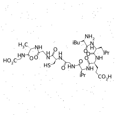 CC[C@H](C)[C@H](N)C(=O)N[C@@H](CC(C)C)C(=O)N[C@@H](CCC(=O)O)C(=O)N[C@H](C(=O)NCC(=O)N[C@@H](CS)C(=O)NCC(=O)N[C@@H](C)C(=O)NCC(=O)O)C(C)C